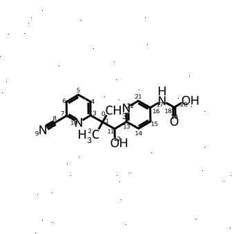 CC(C)(c1cccc(C#N)n1)C(O)c1ccc(NC(=O)O)cn1